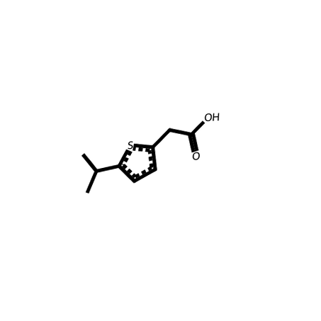 CC(C)c1ccc(CC(=O)O)s1